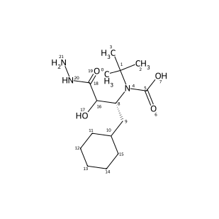 CC(C)(C)N(C(=O)O)[C@H](CC1CCCCC1)C(O)C(=O)NN